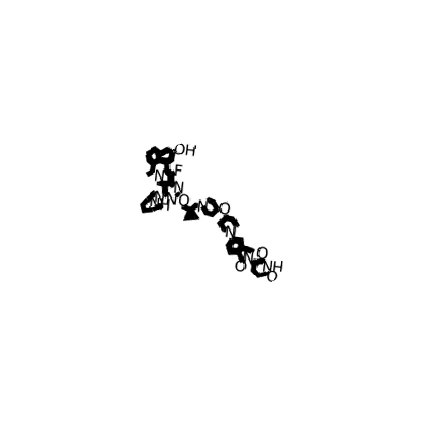 CCc1cccc2cc(O)cc(-c3ncc4c(N5CC6CCC(C5)N6)nc(OCC5(CN6CCC(OC7CCN(c8ccc9c(c8)CN([C@H]8CCC(=O)NC8=O)C9=O)CC7)CC6)CC5)nc4c3F)c12